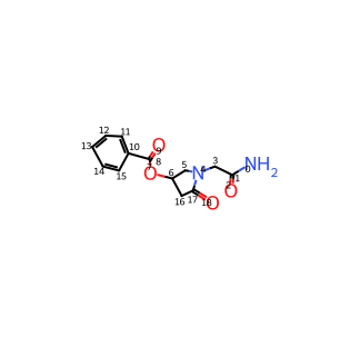 NC(=O)CN1CC(OC(=O)c2ccccc2)CC1=O